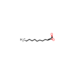 CCCCCCCCCC=C1OC1=O